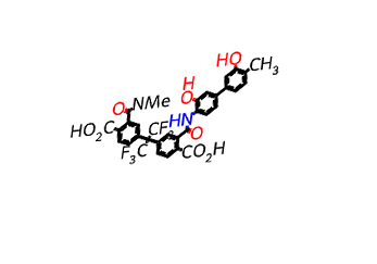 CNC(=O)c1cc(C(c2ccc(C(=O)O)c(C(=O)Nc3ccc(-c4ccc(C)c(O)c4)cc3O)c2)(C(F)(F)F)C(F)(F)F)ccc1C(=O)O